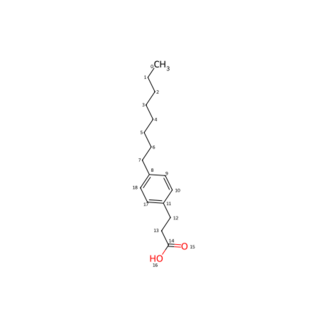 CCCCCCCCc1ccc(CCC(=O)O)cc1